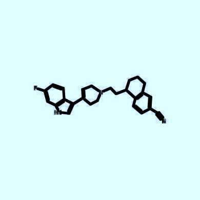 N#Cc1ccc2c(c1)CCCC2CCN1CC=C(c2c[nH]c3cc(F)ccc23)CC1